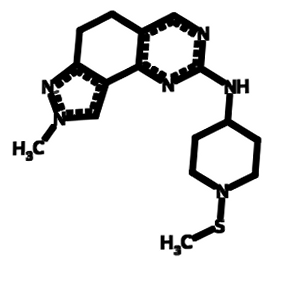 CSN1CCC(Nc2ncc3c(n2)-c2cn(C)nc2CC3)CC1